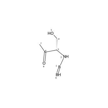 B=BN[C@@H](CO)C(C)=O